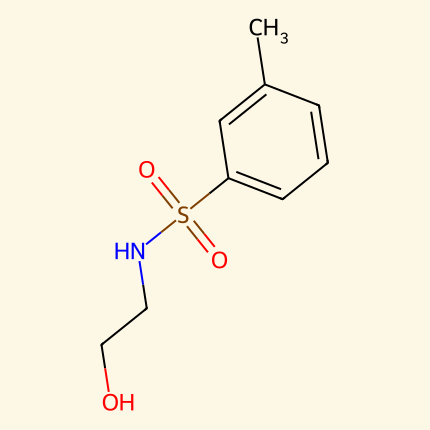 Cc1cccc(S(=O)(=O)NCCO)c1